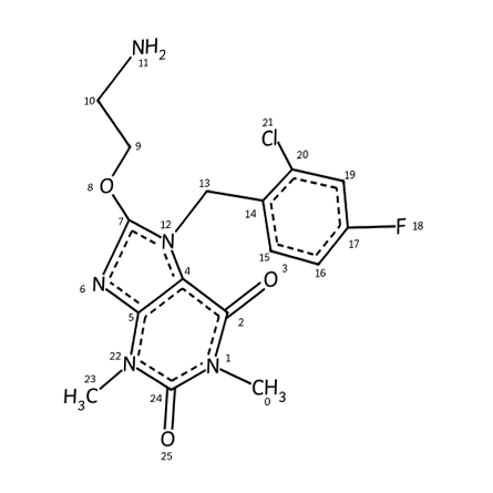 Cn1c(=O)c2c(nc(OCCN)n2Cc2ccc(F)cc2Cl)n(C)c1=O